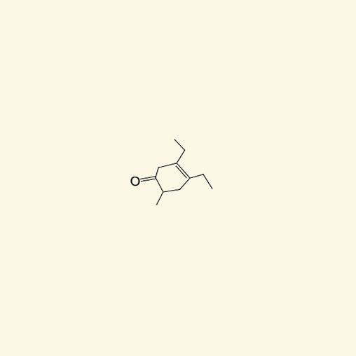 CCC1=C(CC)CC(C)C(=O)C1